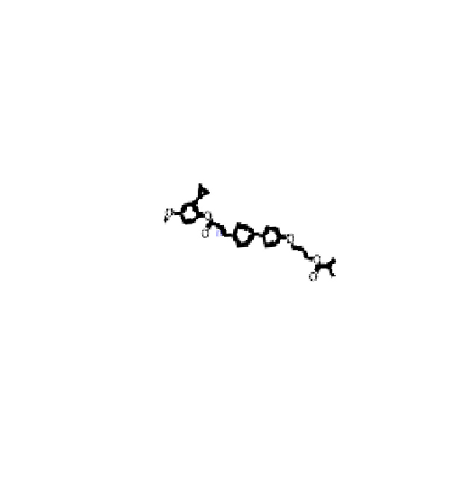 C=C(C)C(=O)OCCCOc1ccc(-c2ccc(/C=C/C(=O)Oc3ccc(OC)cc3C3CC3)cc2)cc1